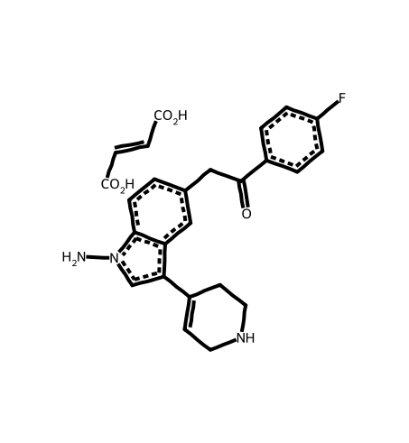 Nn1cc(C2=CCNCC2)c2cc(CC(=O)c3ccc(F)cc3)ccc21.O=C(O)C=CC(=O)O